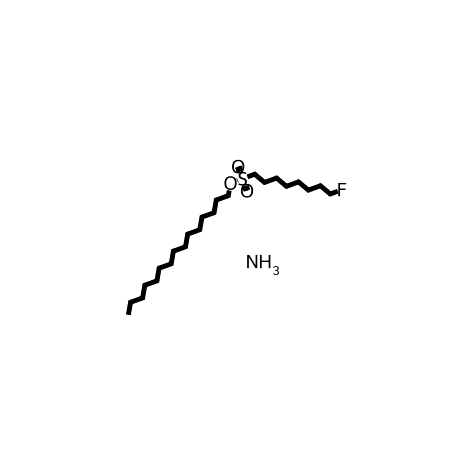 CCCCCCCCCCCCCCCOS(=O)(=O)CCCCCCCCF.N